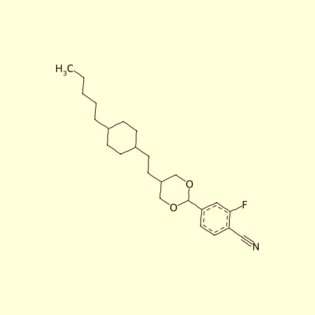 CCCCCC1CCC(CCC2COC(c3ccc(C#N)c(F)c3)OC2)CC1